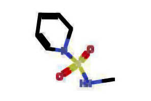 CNS(=O)(=O)N1C=CC=CC1